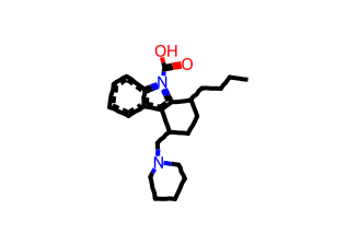 CCCCC1CCC(CN2CCCCC2)c2c1n(C(=O)O)c1ccccc21